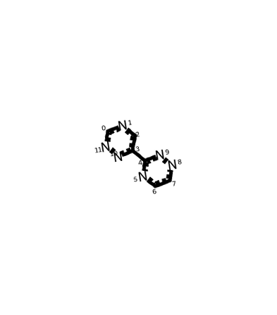 c1ncc(-c2nccnn2)nn1